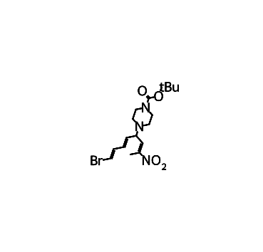 C/C(=C\C(C=C/C=C/Br)N1CCN(C(=O)OC(C)(C)C)CC1)[N+](=O)[O-]